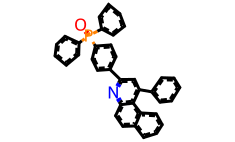 O=P(c1ccccc1)(c1ccccc1)c1ccc(-c2cc(-c3ccccc3)c3c(ccc4ccccc43)n2)cc1